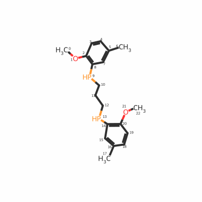 COc1ccc(C)cc1PCCCPc1cc(C)ccc1OC